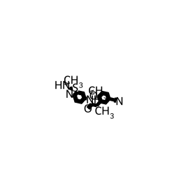 CNc1nc2ccc(NC(=O)C(C)c3cc(C#N)ccc3OC)cc2s1